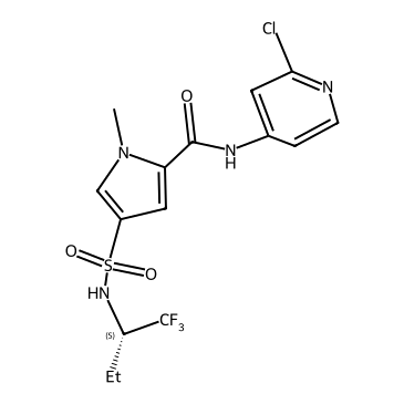 CC[C@H](NS(=O)(=O)c1cc(C(=O)Nc2ccnc(Cl)c2)n(C)c1)C(F)(F)F